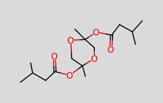 CC(C)CC(=O)OC1(C)COC(C)(OC(=O)CC(C)C)CO1